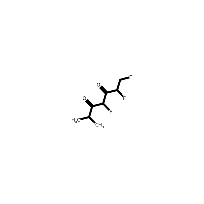 CC(C)C(=O)C(F)C(=O)C(F)CF